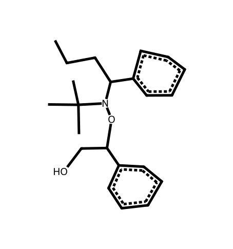 CCCC(c1ccccc1)N(OC(CO)c1ccccc1)C(C)(C)C